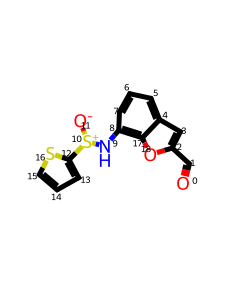 O=Cc1cc2cccc(N[S+]([O-])c3cccs3)c2o1